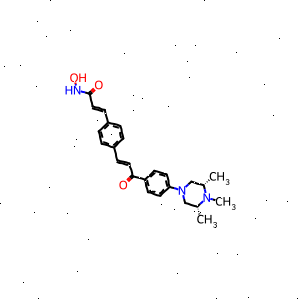 C[C@@H]1CN(c2ccc(C(=O)/C=C/c3ccc(/C=C/C(=O)NO)cc3)cc2)C[C@H](C)N1C